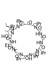 C/C=C/CC(C)C(O)C1C(=O)NC(CC)C(=O)N(C)CC(=O)N(C)C(CC(C)C)C(=O)NC(C(C)C)C(=O)N(C)C(CC(C)C)C(=O)NC(C)C(=O)NC(C)C(=O)N(C)C(CC(C)C)C(=O)C(C)C(CC(C)C)C(=O)N(C)C(C(C)C)C(=O)N1C